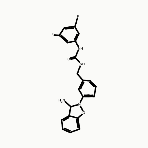 NC1c2ccccc2ON1c1cccc(CNC(=O)Nc2cc(F)cc(F)c2)c1